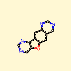 c1ncc2cc3oc4cncnc4c3cc2n1